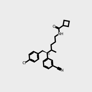 CC(CCCNC(=O)C1CCC1)[C@H](Cc1ccc(Cl)cc1)c1cccc(C#N)c1